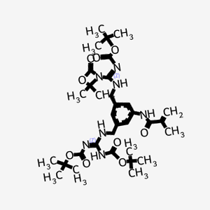 C=C(C)C(=O)Nc1cc(CN/C(=N/C(=O)OC(C)(C)C)NC(=O)OC(C)(C)C)cc(CN/C(=N/C(=O)OC(C)(C)C)N2C(=O)OC2(C)C)c1